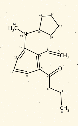 C=Cc1c(C(=O)CCC)cccc1N(C)C1CCCC1